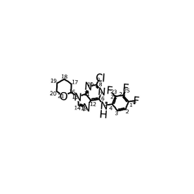 Fc1ccc(Nc2nc(Cl)nc3c2ncn3C2CCCCO2)c(F)c1F